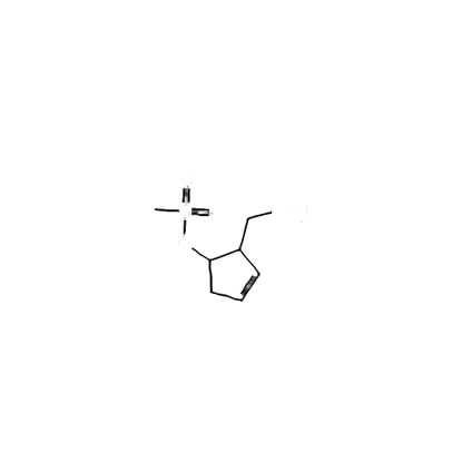 CS(=O)(=O)OC1CC=CC1CC(=O)O